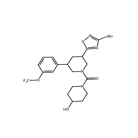 CC(C)(C)c1noc(C2CC(c3cccc(OC(F)(F)F)c3)CN(C(=O)N3CCC(O)CC3)C2)n1